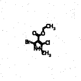 CCOC(=O)c1c(Br)nn(C)c1Cl